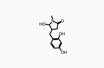 CN1C(=O)CC(Cc2ccc(O)cc2O)C1O